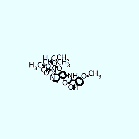 CCOc1ccc(F)c(C(Nc2ccc3c(N(C(=O)OC(C)(C)C)C(=O)OC(C)(C)C)nccc3c2)C(=O)O)c1